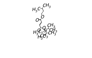 CC(C)CCOC(=O)C=CC(=O)O[Si](C(C)C)(C(C)C)C(C)C